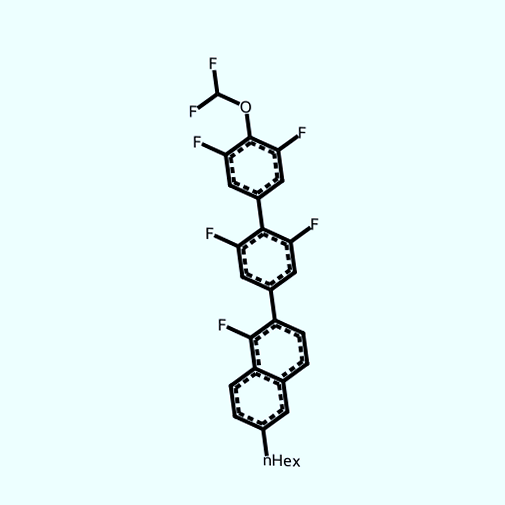 CCCCCCc1ccc2c(F)c(-c3cc(F)c(-c4cc(F)c(OC(F)F)c(F)c4)c(F)c3)ccc2c1